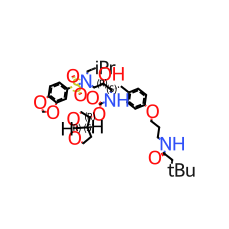 CC(C)CN(C[C@@H](O)[C@H](Cc1ccc(OCCCNC(=O)CC(C)(C)C)cc1)NC(=O)O[C@H]1CO[C@H]2OCC[C@H]21)S(=O)(=O)c1ccc2c(c1)OCO2